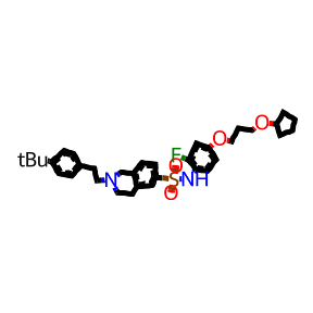 CC(C)(C)c1ccc(CCN2CCc3cc(S(=O)(=O)Nc4ccc(OCCCOC5CCCC5)cc4F)ccc3C2)cc1